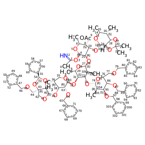 CC(=N)O[C@H]1OC(C)[C@H](OC(C)=O)C(O[C@@H]2OC(C)[C@H](C)C3OC(C)(C)O[C@@H]32)[C@H]1O[C@@H]1OC(C)[C@H](O[C@@H]2OC[C@@H](C)C(O[C@@H]3OC[C@@]4(COCc5ccccc5)O[C@@H](c5ccccc5)OC34)[C@H]2OCc2ccccc2)C(O[C@@H]2OC(COCc3ccccc3)C(OCc3ccccc3)[C@@H](OCc3ccccc3)[C@H]2C)[C@@H]1C